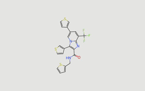 O=C(NCc1cccs1)c1nc2c(C(F)(F)F)cc(-c3ccsc3)cn2c1-c1ccsc1